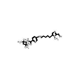 CC(C)Cc1ncc(CCCCCNc2ccc(C(=O)NC3C(C)(C)CC3(C)C)nc2)n1C